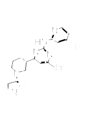 CC(C)c1cc(C2CCCN(C(=O)CC#N)C2)nc(Nc2cc(C(F)(F)F)ccn2)n1